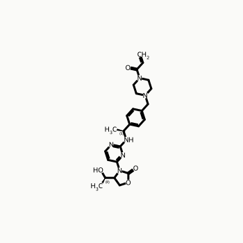 C=CC(=O)N1CCN(Cc2ccc([C@H](C)Nc3nccc(N4C(=O)OCC4[C@@H](C)O)n3)cc2)CC1